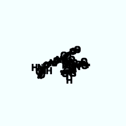 COc1ccc(COC(=O)C2=C(C[n+]3ccc4c(ccn4Cc4ccc(C(=N)NC(=O)OC(C)(C)C)cc4)c3)CS[C@@H]3[C@H](NC(=O)/C(=N\OC(C)(C)C(=O)OC(C)(C)C)c4csc(NC(=O)OC(C)(C)C)n4)C(=O)N23)cc1.[I-]